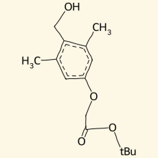 Cc1cc(OCC(=O)OC(C)(C)C)cc(C)c1CO